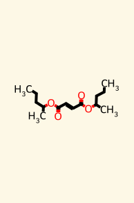 CCCC(C)OC(=O)C=CC(=O)OC(C)CCC